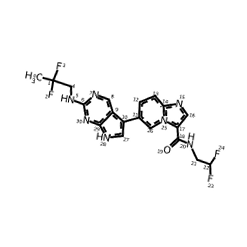 CC(F)(F)CNc1ncc2c(-c3ccc4ncc(C(=O)NCC(F)F)n4c3)c[nH]c2n1